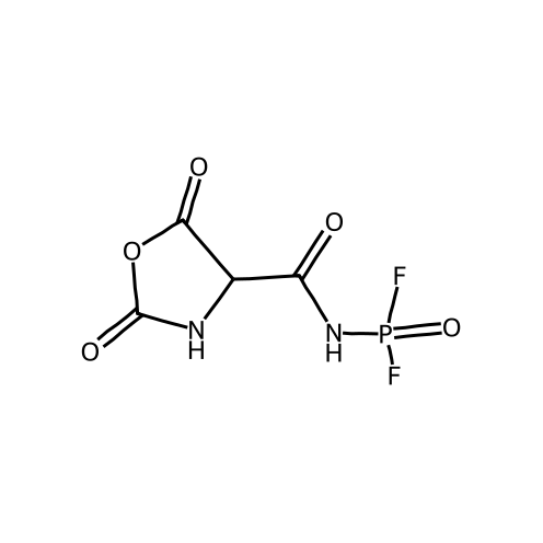 O=C1NC(C(=O)NP(=O)(F)F)C(=O)O1